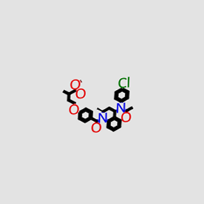 COC(=O)C(C)CCOc1ccc(C(=O)N2c3ccccc3[C@H](N(C(C)=O)c3ccc(Cl)cc3)C[C@@H]2C)cc1